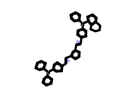 C(=C\c1cccc(/C=C/c2ccc(N(c3ccccc3)c3cccc4c3CCCC4)cc2)c1)/c1ccc(N(c2ccccc2)c2ccccc2)cc1